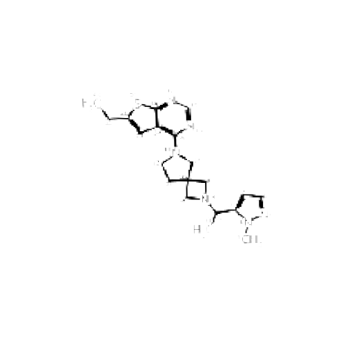 CC(c1ccnn1C)N1CC2(CCN(c3ncnc4sc(CC(F)(F)F)cc34)C2)C1